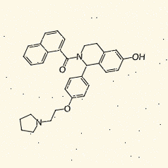 O=C(c1cccc2ccccc12)N1CCc2cc(O)ccc2C1c1ccc(OCCN2CCCC2)cc1